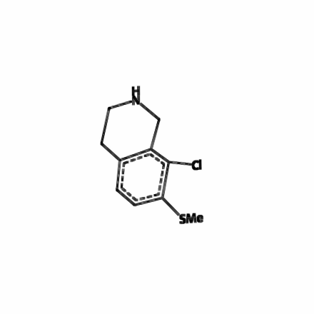 CSc1ccc2c(c1Cl)CNCC2